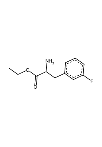 CCOC(=O)C(N)Cc1cccc(F)c1